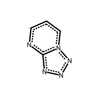 [c]1ccn2nnnc2n1